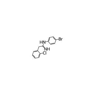 N=C(Cc1ccccc1Cl)Nc1ccc(Br)cc1